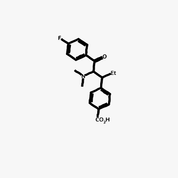 CCC(c1ccc(C(=O)O)cc1)C(C(=O)c1ccc(F)cc1)N(C)C